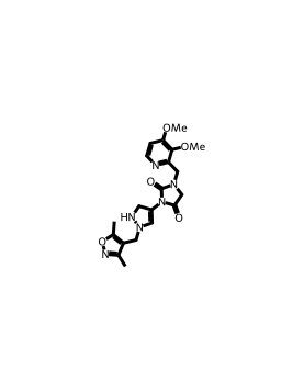 COc1ccnc(CN2CC(=O)N(C3=CN(Cc4c(C)noc4C)NC3)C2=O)c1OC